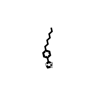 CCCCCCCc1ccc(-c2nncs2)cc1